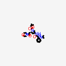 CC(C)n1nc(C(=O)N[C@H]2C[C@@H](CC(=O)N3CCOCC3)N(C(=O)OC(C)(C)C)C2)c2ccccc21